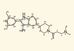 C=C(CCN(C)C)N1CCC(c2ccc3[nH]c(-c4cc(C)nc(C)c4)c(C(C)C)c3c2)CC1